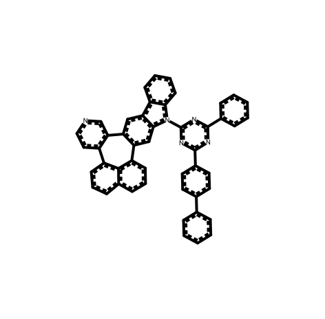 c1ccc(-c2ccc(-c3nc(-c4ccccc4)nc(-n4c5ccccc5c5cc6c(cc54)-c4cccc5cccc(c45)-c4ccncc4-6)n3)cc2)cc1